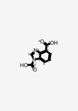 O=C(O)c1cccc2c1ncn2C(=O)O